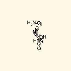 CCN(CC(NC(=O)OCc1ccccc1)C(=O)O)c1cc(N2CCC(c3ncccc3CN)CC2)ncn1